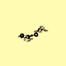 CCCNc1nc(Nc2cccc(F)c2)ncc1C#C[C@@H]1CCC[C@H](NC(=O)CN(C)C(=O)OC(C)(C)C)C1